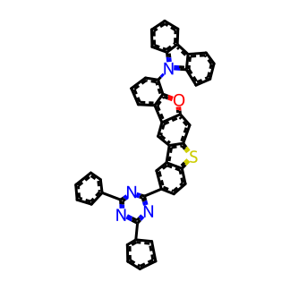 c1ccc(-c2nc(-c3ccccc3)nc(-c3ccc4sc5cc6oc7c(-n8c9ccccc9c9ccccc98)cccc7c6cc5c4c3)n2)cc1